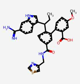 CCC(c1ccc(C(=O)NCc2cscn2)cc1-c1ccc(OC)cc1C(=O)O)c1c[nH]c2cc(C(=N)N)ccc12